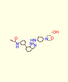 C=CC(=O)Nc1cccc(-c2cccc3cnc(Nc4ccc(N5CCO[C@@H](CO)C5)cc4)nc23)c1